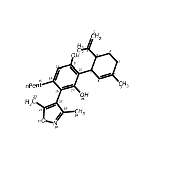 C=C(C)C1CCC(C)=CC1c1c(O)cc(CCCCC)c(-c2c(C)noc2C)c1O